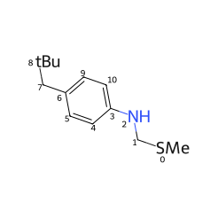 CSCNc1ccc(CC(C)(C)C)cc1